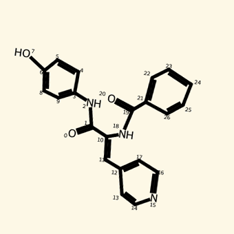 O=C(Nc1ccc(O)cc1)/C(=C/c1ccncc1)NC(=O)c1ccccc1